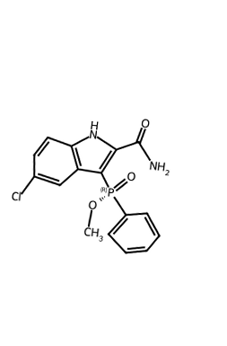 CO[P@](=O)(c1ccccc1)c1c(C(N)=O)[nH]c2ccc(Cl)cc12